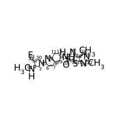 CNC1CN(c2ccc3c(n2)CCC(NC(=O)c2sc4nc(C)nc(C)c4c2N)C3)CC1CF